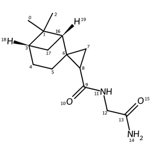 CC1(C)[C@H]2CCC3(CC3C(=O)NCC(N)=O)[C@@H]1C2